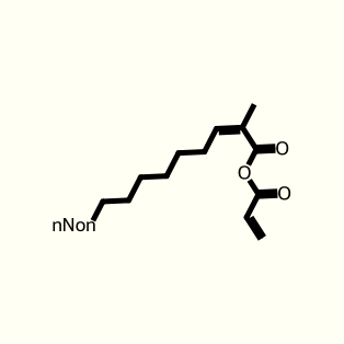 C=CC(=O)OC(=O)C(C)=CCCCCCCCCCCCCCCC